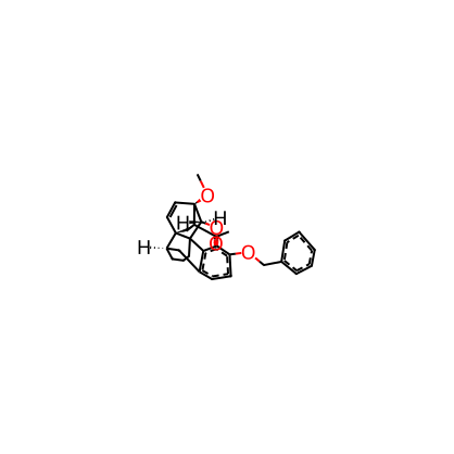 CO[C@]12C=C[C@@]3(C[C@@H]1C(C)=O)[C@@H]1CCCC34c3c(ccc(OCc5ccccc5)c3O[C@H]42)C1